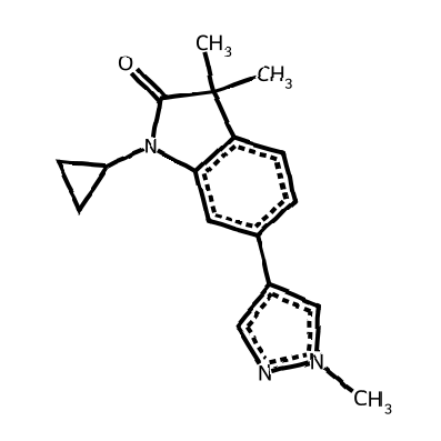 Cn1cc(-c2ccc3c(c2)N(C2CC2)C(=O)C3(C)C)cn1